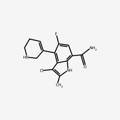 Cc1[nH]c2c(C(N)=O)cc(F)c(C3=CCCNC3)c2c1Cl